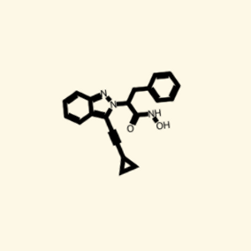 O=C(NO)C(Cc1ccccc1)n1nc2ccccc2c1C#CC1CC1